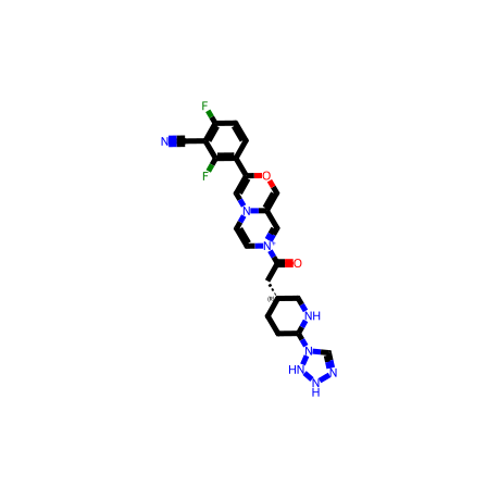 N#Cc1c(F)ccc(C2=CN3C=C[N+](C(=O)C[C@H]4CCC(N5C=NNN5)NC4)=CC3=CO2)c1F